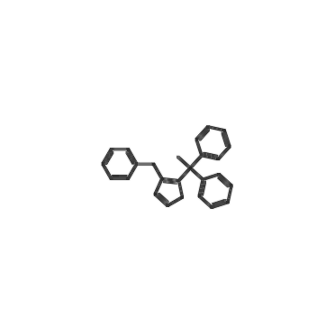 CC(C1=C(Cc2ccccc2)C=CC1)(c1ccccc1)c1ccccc1